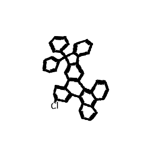 Clc1ccc2c3cc4c(cc3c3c5ccccc5c5ccccc5c3c2c1)-c1ccccc1C4(c1ccccc1)c1ccccc1